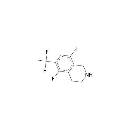 CC(F)(F)c1cc(I)c2c(c1F)CCNC2